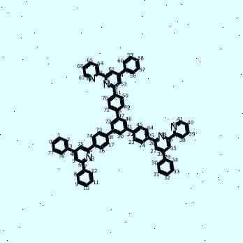 c1ccc(-c2cc(-c3ccccc3)nc(-c3ccc(-c4cc(-c5ccc(-c6cc(-c7ccccc7)cc(-c7ccccn7)n6)cc5)cc(-c5ccc(-c6cc(-c7ccccc7)cc(-c7ccccn7)n6)cc5)c4)cc3)c2)cc1